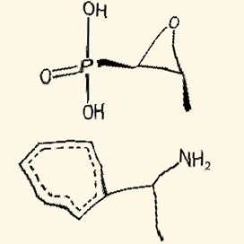 CC(N)c1ccccc1.C[C@@H]1O[C@@H]1P(=O)(O)O